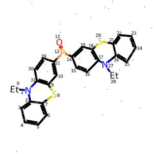 CCN1c2ccccc2Sc2cc([P](=O)c3ccc4c(c3)Sc3ccccc3N4CC)ccc21